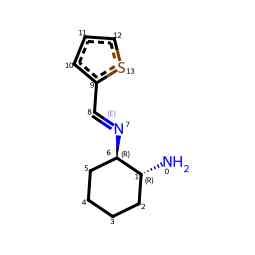 N[C@@H]1CCCC[C@H]1/N=C/c1cccs1